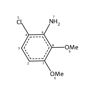 COc1ccc(Cl)c(N)c1OC